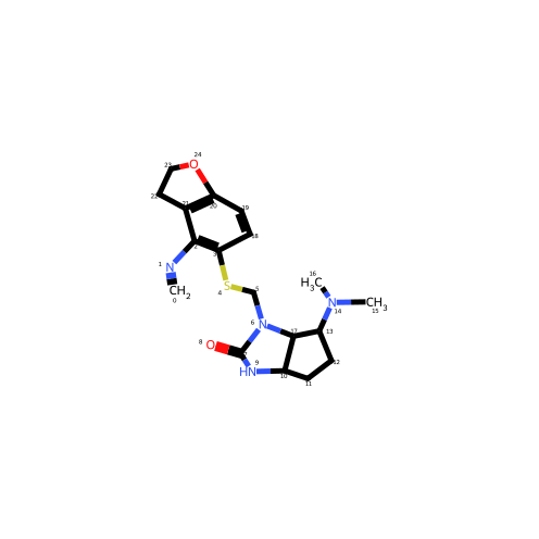 C=Nc1c(SCN2C(=O)NC3CCC(N(C)C)C32)ccc2c1CCO2